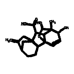 C=C1CC23CC1CCC2C12C=CC(O)C(C)(C(O)O1)C2C3C(=O)O